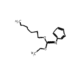 CCCCCCOC(=Nc1ccccc1)OCC